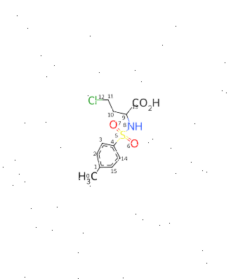 Cc1ccc(S(=O)(=O)NC(CCCl)C(=O)O)cc1